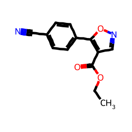 CCOC(=O)c1cnoc1-c1ccc(C#N)cc1